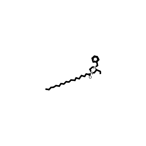 CCCCCCCCCCCCCCCCCC(=O)N1CCN(Cc2ccccc2)C(CC)C1